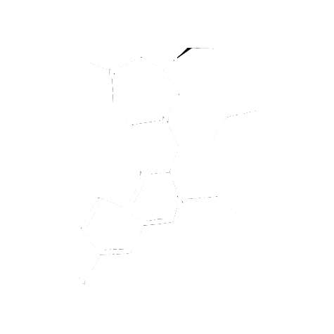 CCC[C@H](C1N=c2ccc(Br)cc2=CN1CC)N1CCN(C)C[C@@H](CC)C1